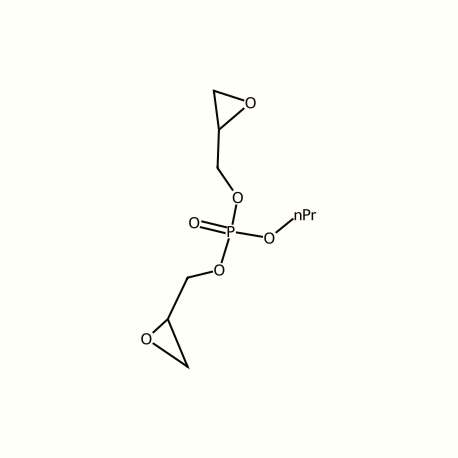 CCCOP(=O)(OCC1CO1)OCC1CO1